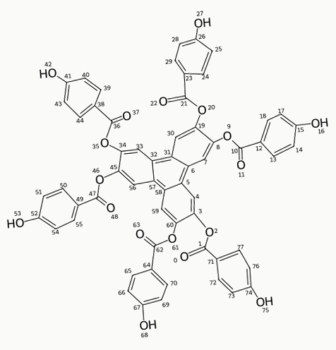 O=C(Oc1cc2c3cc(OC(=O)c4ccc(O)cc4)c(OC(=O)c4ccc(O)cc4)cc3c3cc(OC(=O)c4ccc(O)cc4)c(OC(=O)c4ccc(O)cc4)cc3c2cc1OC(=O)c1ccc(O)cc1)c1ccc(O)cc1